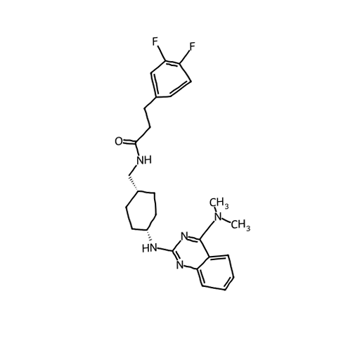 CN(C)c1nc(N[C@H]2CC[C@@H](CNC(=O)CCc3ccc(F)c(F)c3)CC2)nc2ccccc12